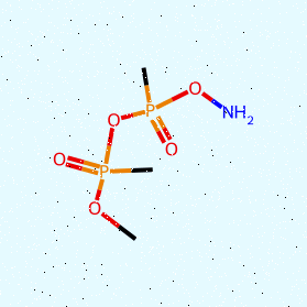 COP(C)(=O)OP(C)(=O)ON